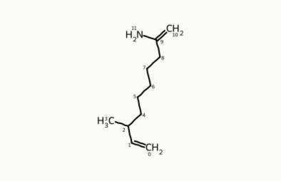 C=CC(C)CCCCCC(=C)N